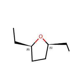 CC[C@@H]1CC[C@H](CC)O1